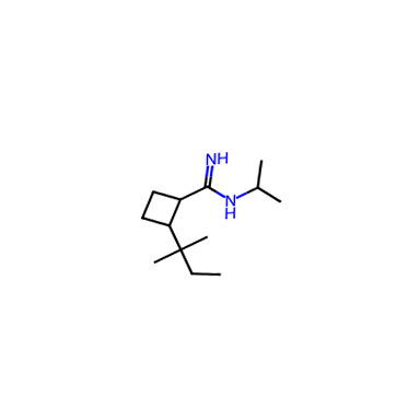 CCC(C)(C)C1CCC1C(=N)NC(C)C